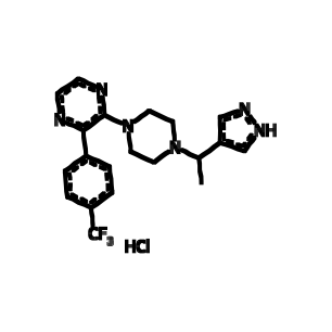 CC(c1cn[nH]c1)N1CCN(c2nccnc2-c2ccc(C(F)(F)F)cc2)CC1.Cl